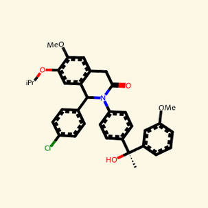 COc1cccc([C@@](C)(O)c2ccc(N3C(=O)Cc4cc(OC)c(OC(C)C)cc4C3c3ccc(Cl)cc3)cc2)c1